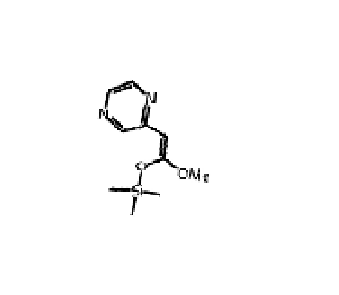 COC(=Cc1cnccn1)O[Si](C)(C)C